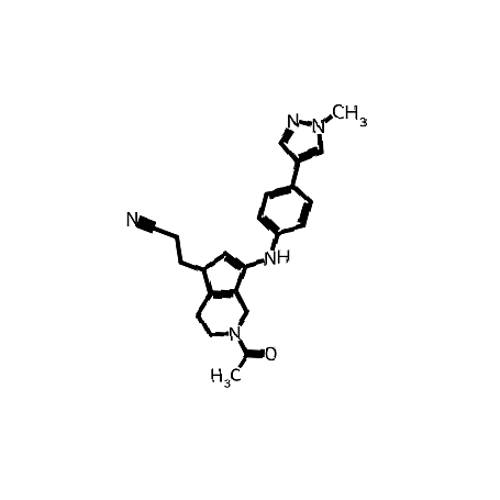 CC(=O)N1CCC2=C(C1)C(Nc1ccc(-c3cnn(C)c3)cc1)=CC2CCC#N